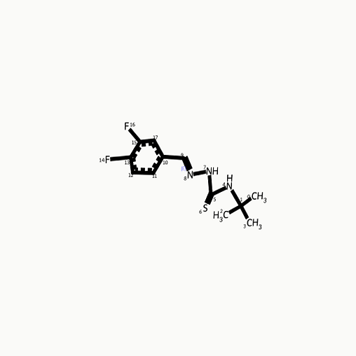 CC(C)(C)NC(=S)N/N=C/c1ccc(F)c(F)c1